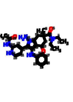 CCN(CC)C(=O)C1(C)CC(=O)c2c(Nc3ccccc3)c(C3=CC(NC(C)=O)NC=C3)n(N)c2C1